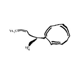 C=C[C@H](O)c1ccccc1